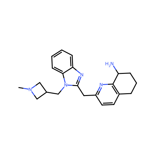 CN1CC(Cn2c(Cc3ccc4c(n3)C(N)CCC4)nc3ccccc32)C1